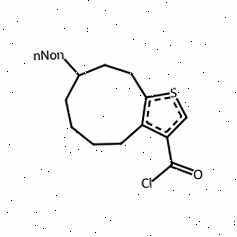 CCCCCCCCCC1CCCCc2c(C(=O)Cl)csc2CC1